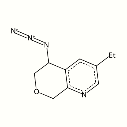 CCc1cnc2c(c1)C(N=[N+]=[N-])COC2